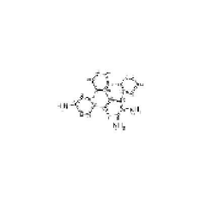 N.Nc1ccc(-c2ccc(N)c(-c3ccccc3)c2-c2ccccc2)cc1